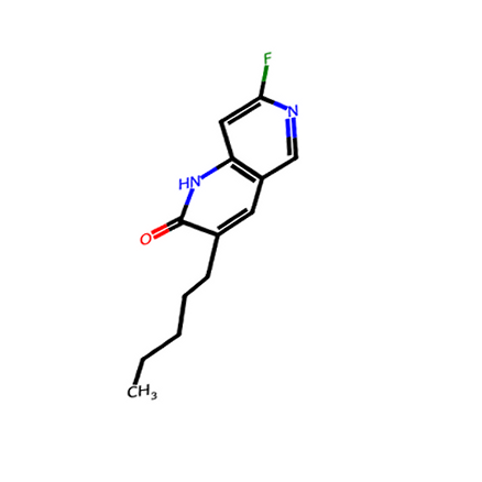 CCCCCc1cc2cnc(F)cc2[nH]c1=O